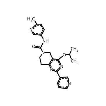 Cc1ccc(NC(=O)N2CCc3nc(-c4cccnc4)nc(OC(C)C)c3C2)cn1